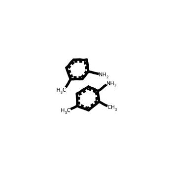 Cc1ccc(N)c(C)c1.Cc1cccc(N)c1